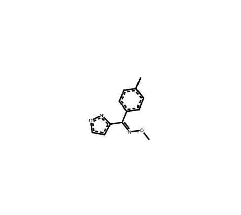 CO/N=C(\c1ccc(C)cc1)c1ccon1